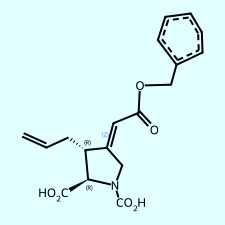 C=CC[C@@H]1/C(=C/C(=O)OCc2ccccc2)CN(C(=O)O)[C@H]1C(=O)O